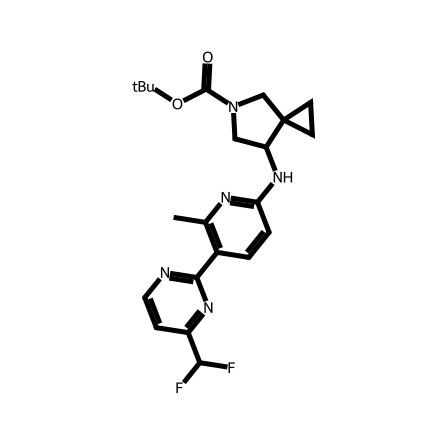 Cc1nc(NC2CN(C(=O)OC(C)(C)C)CC23CC3)ccc1-c1nccc(C(F)F)n1